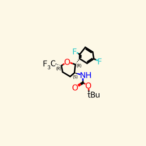 CC(C)(C)OC(=O)N[C@H]1CC[C@H](C(F)(F)F)O[C@@H]1c1cc(F)ccc1F